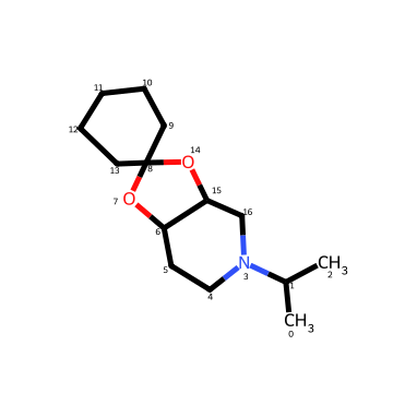 CC(C)N1CCC2OC3(CCCCC3)OC2C1